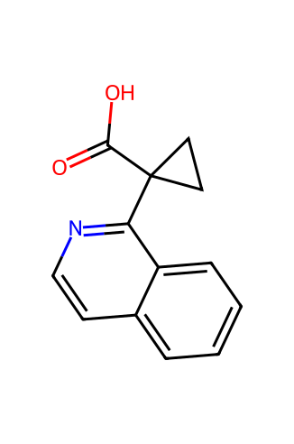 O=C(O)C1(c2nccc3ccccc23)CC1